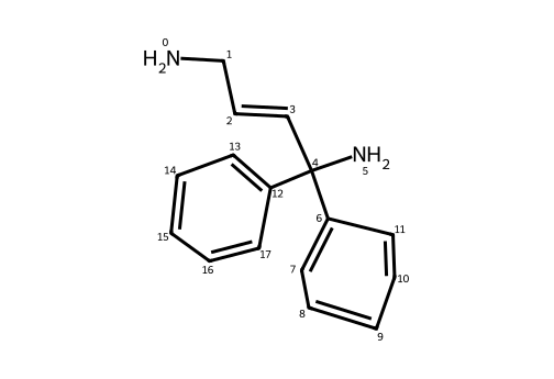 NCC=CC(N)(c1ccccc1)c1ccccc1